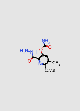 COc1nc(C(=O)NN)c(OC(N)=O)cc1C(F)(F)F